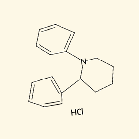 Cl.c1ccc(C2CCCCN2c2ccccc2)cc1